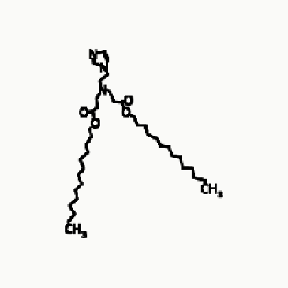 CCCCCCCCCCCCCCOC(=O)CCN(CCC(=O)OCCCCCCCCCCCCCC)CCn1ccnc1